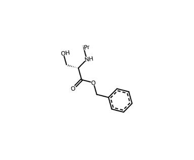 CC(C)N[C@@H](CO)C(=O)OCc1ccccc1